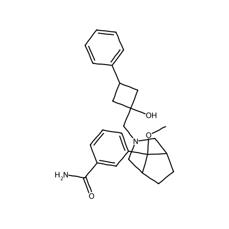 COC1(c2cccc(C(N)=O)c2)C2CCC1CN(CC1(O)CC(c3ccccc3)C1)C2